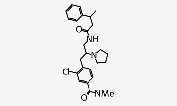 CNC(=O)c1ccc(CC(CNC(=O)CC(C)c2ccccc2)N2CCCC2)c(Cl)c1